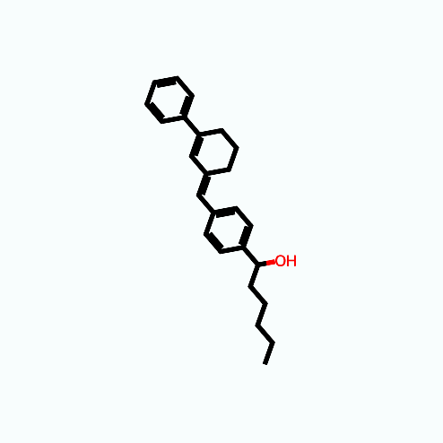 CCCCCC(O)c1ccc(/C=C2/C=C(c3ccccc3)CCC2)cc1